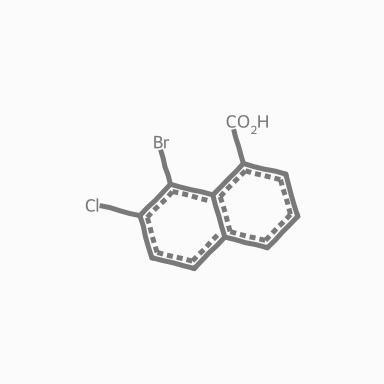 O=C(O)c1cccc2ccc(Cl)c(Br)c12